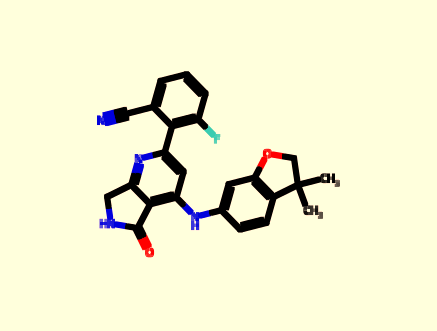 CC1(C)COc2cc(Nc3cc(-c4c(F)cccc4C#N)nc4c3C(=O)NC4)ccc21